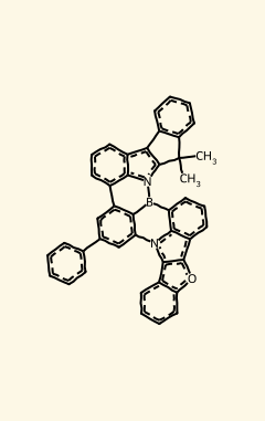 CC1(C)c2ccccc2-c2c1n1c3c(cccc23)-c2cc(-c3ccccc3)cc3c2B1c1cccc2c4oc5ccccc5c4n-3c12